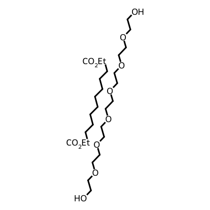 CCOC(=O)CCCCCCCCC(=O)OCC.OCCOCCOCCOCCOCCOCCOCCO